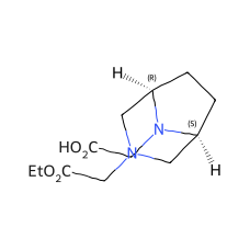 CCOC(=O)CN1C[C@H]2CC[C@@H](C1)N2CC(=O)O